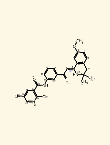 COc1ccc2c(c1)/C(=C/C(=O)c1cccc(NC(=O)c3cc(Cl)cnc3Cl)c1)NC(C)(C)C2